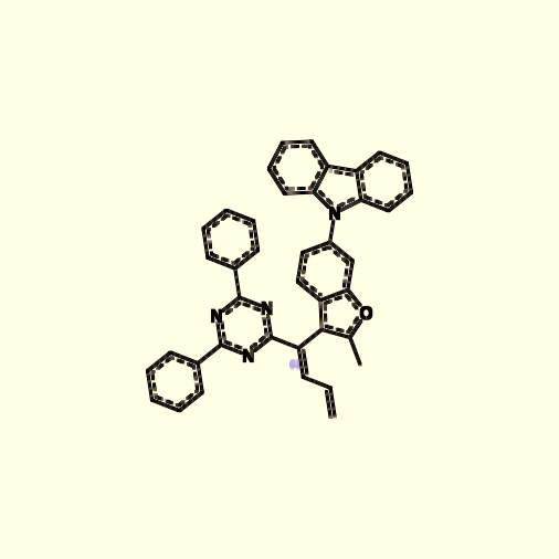 C=C/C=C(/c1nc(-c2ccccc2)nc(-c2ccccc2)n1)c1c(C)oc2cc(-n3c4ccccc4c4ccccc43)ccc12